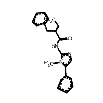 Cn1c(-c2ccccc2)cnc1NC(=O)C(CC(=O)O)Cc1ccccc1